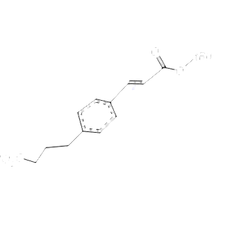 CC(C)(C)OC(=O)/C=C/c1ccc(CCCC(=O)O)cc1